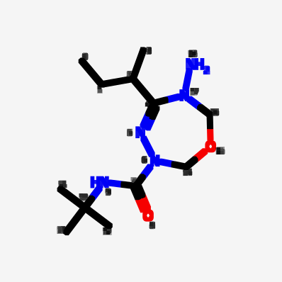 CCC(C)C1=NN(C(=O)NC(C)(C)C)COCN1N